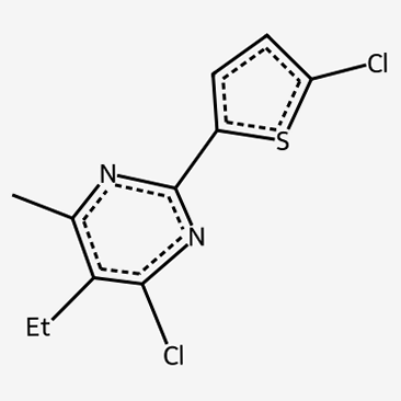 CCc1c(C)nc(-c2ccc(Cl)s2)nc1Cl